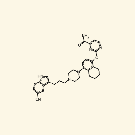 N#Cc1ccc2[nH]cc(CCCN3CCN(c4ccc(Oc5nccc(C(N)=O)n5)c5c4CCCC5)CC3)c2c1